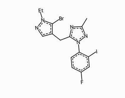 CCn1ncc(Cc2nc(C)nn2-c2ccc(F)cc2I)c1Br